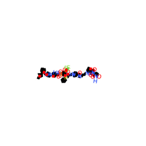 CCC12CC(C3=C(CN4CCN(c5ccc(C(=O)NS(=O)(=O)c6ccc(N[C@H](CCN7CCC(C(=O)N(C)CCCCNc8cccc9c8C(=O)N(C8CCC(=O)NC8=O)C9=O)CC7)CSc7ccccc7)c(S(=O)(=O)C(F)(F)F)c6)cc5)CC4)CCC(C)(C)C3)(C1)C2